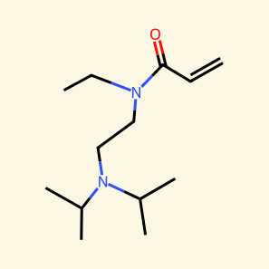 C=CC(=O)N(CC)CCN(C(C)C)C(C)C